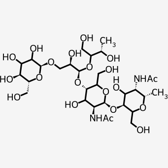 CC(=O)N[C@H]1C(O)[C@H](O[C@H](OC(CO)[C@H](C)O)[C@H](O)CO[C@H]2O[C@H](CO)[C@@H](O)C(O)C2O)C(CO)O[C@H]1O[C@@H]1C(CO)O[C@@H](C)[C@@H](NC(C)=O)C1O